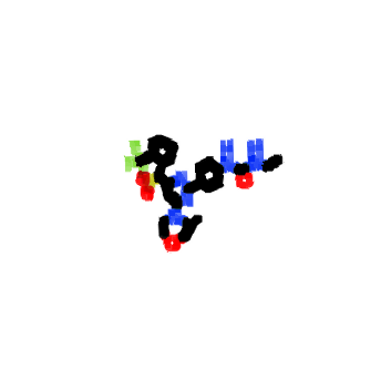 CCNC(=O)Nc1ccc(-c2nc(C(c3ccccc3C(F)(F)F)=S(=O)=O)cc(N3CCOC[C@@H]3C)n2)cc1